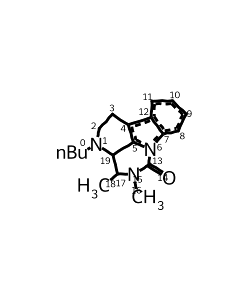 CCCCN1CCc2c3n(c4ccccc24)C(=O)N(C)C(C)C31